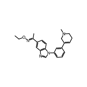 CCON=C(C)c1ccc2c(c1)ncn2-c1cccc(C2=CCCN(C)C2)c1